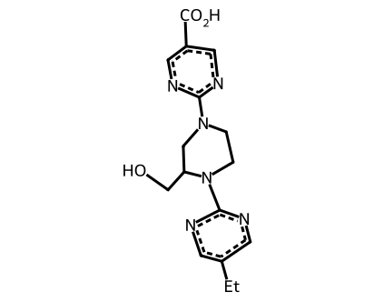 CCc1cnc(N2CCN(c3ncc(C(=O)O)cn3)CC2CO)nc1